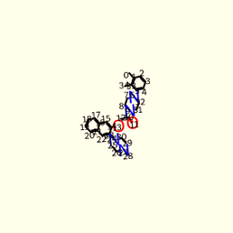 Cc1cccc(N2CCN(C(=O)COc3cc4ccccc4cc3N3CCN(C)CC3)CC2)c1C